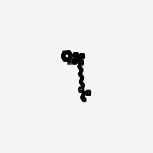 C=CC(=O)OCCCCCCOP(=O)(O)Oc1ccccc1